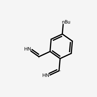 CCCCc1ccc([C]=N)c([C]=N)c1